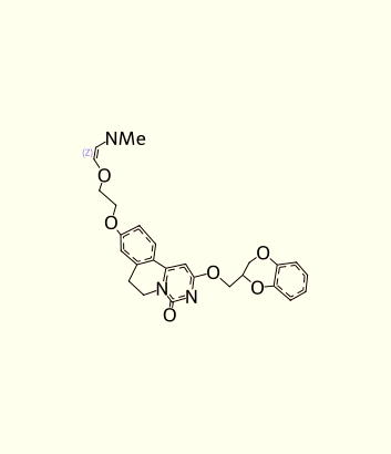 CN/C=C\OCCOc1ccc2c(c1)CCn1c-2cc(OCC2COc3ccccc3O2)nc1=O